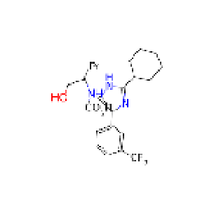 CC(C)C(CO)NC(=O)O.FC(F)(F)c1cccc(-c2c[nH]c(C3CCCCC3)n2)c1